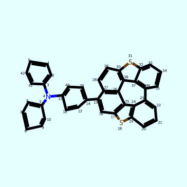 c1ccc(N(c2ccccc2)c2ccc(-c3cc4sc5cccc6c5c4c4c3ccc3sc5cccc-6c5c34)cc2)cc1